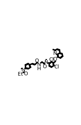 CCC(=O)N(C)c1ccc(C=CC(=O)NCC(=O)N(C)c2ccc(Cl)c(COc3cccc4ccc(C)nc34)c2Cl)cc1